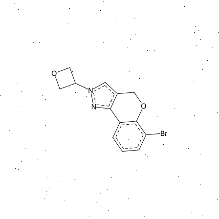 Brc1cccc2c1OCc1cn(C3COC3)nc1-2